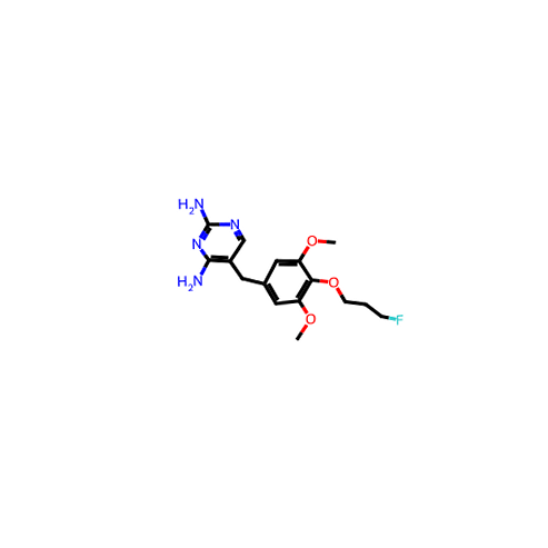 COc1cc(Cc2cnc(N)nc2N)cc(OC)c1OCCCF